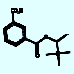 [CH2]C(OC(=O)c1cccc(C(=O)O)c1)[Si](C)(C)C